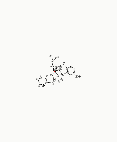 Oc1ccc2c(c1)C13CCN(Cc4ccccn4)CCC1(O)C(C2)N(CC1CC1)CC3